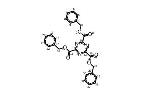 O=C(OCc1ccccc1)c1nc(C(=O)OCc2ccccc2)nc(C(=O)OCc2ccccc2)n1